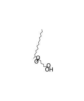 CCCCCCCCCCCCCC(C)OC(=O)CCCCC(=O)O